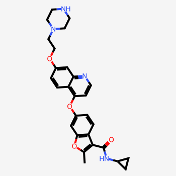 Cc1oc2cc(Oc3ccnc4cc(OCCN5CCNCC5)ccc34)ccc2c1C(=O)NC1CC1